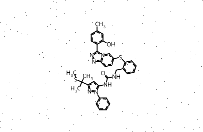 CSC(C)(C)c1cc(NC(=O)NCc2ccccc2Sc2ccc3nnc(-c4ccc(C)cc4O)n3c2)n(-c2ccccc2)n1